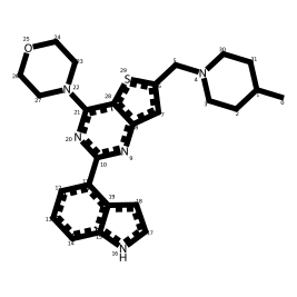 CC1CCN(Cc2cc3nc(-c4cccc5[nH]ccc45)nc(N4CCOCC4)c3s2)CC1